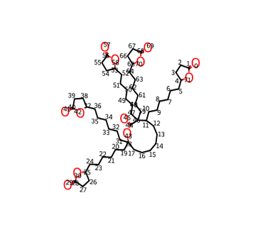 O=C1CCC(CCCCCCC2CCCCCCC(CCCCCCC3CCC(=O)O3)(CCCCCCC3CCC(=O)O3)OC(=O)C2(CCCCCCC2CCC(=O)O2)CCCCCCC2CCC(=O)O2)O1